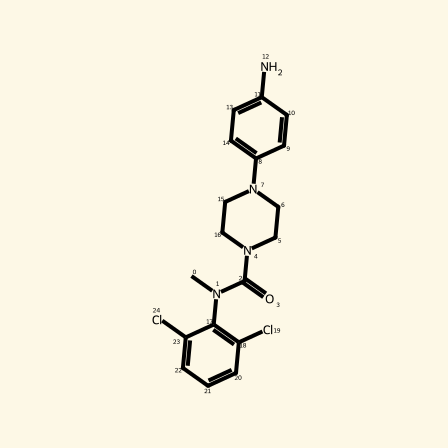 CN(C(=O)N1CCN(c2ccc(N)cc2)CC1)c1c(Cl)cccc1Cl